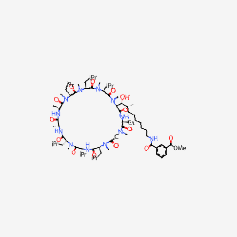 CC[C@@H]1NC(=O)[C@H]([C@H](O)[C@H](C)CCCCCCCNC(=O)c2cccc(C(=O)OC)c2)N(C)C(=O)[C@H](C(C)C)N(C)C(=O)[C@H](CC(C)C)N(C)C(=O)[C@H](CC(C)C)N(C)C(=O)[C@H](C)NC(=O)[C@@H](C)NC(=O)[C@@H](CC(C)C)N(C)C(=O)[C@@H](C(C)C)NC(=O)[C@H](CC(C)C)N(C)C(=O)CN(C)C1=O